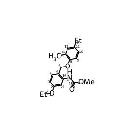 CCOc1ccc(COc2ccc(CC)cc2C)c(NC(=O)OC)c1